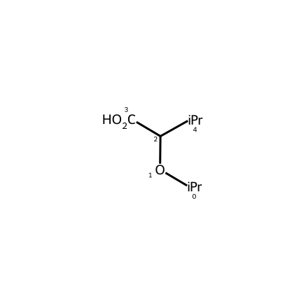 CC(C)OC(C(=O)O)C(C)C